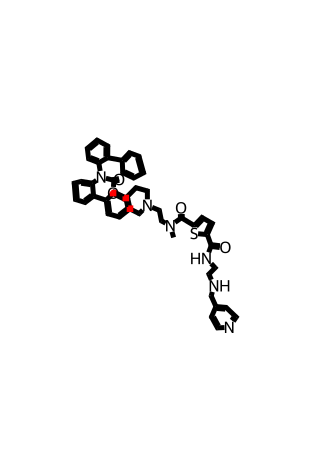 CN(CCN1CCC(OC(=O)N(c2ccccc2-c2ccccc2)c2ccccc2-c2ccccc2)CC1)C(=O)c1ccc(C(=O)NCCNCc2ccncc2)s1